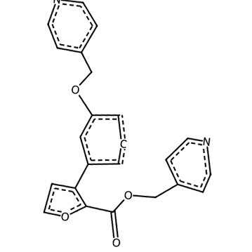 O=C(OCc1ccncc1)c1occc1-c1cccc(OCc2ccncc2)c1